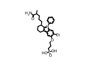 CCc1cc2c(cc1OCCCP(=O)(O)O)c1c(n2-c2ccccc2)C(CCCC(C)C(N)=O)CCC1